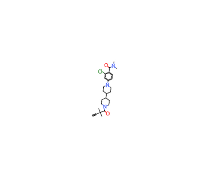 C#CC(C)(C)C(=O)N1CCC(C2CCN(c3ccc(C(=O)N(C)C)c(Cl)c3)CC2)CC1